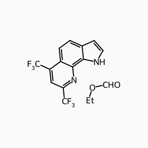 CCOC=O.FC(F)(F)c1cc(C(F)(F)F)c2ccc3cc[nH]c3c2n1